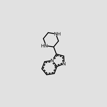 c1ccn2c(C3CNCCN3)cnc2c1